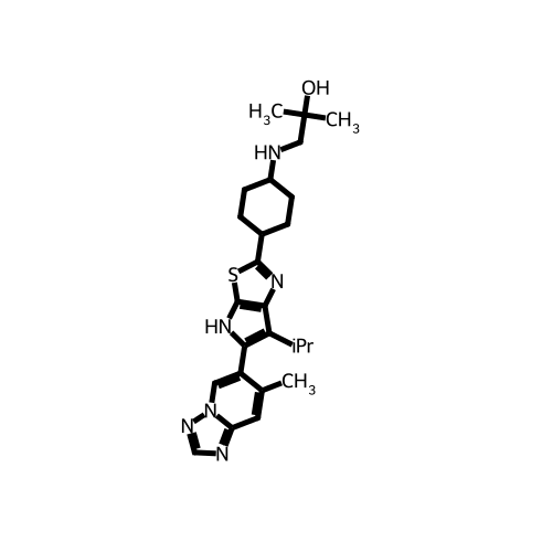 Cc1cc2ncnn2cc1-c1[nH]c2sc(C3CCC(NCC(C)(C)O)CC3)nc2c1C(C)C